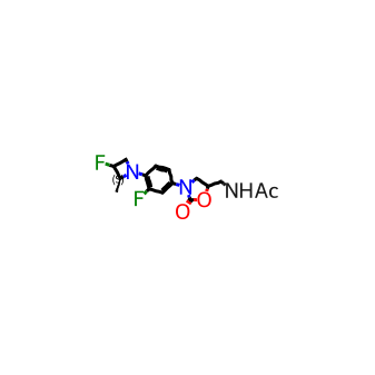 CC(=O)NCC1CN(c2ccc(N3CC(F)[C@@H]3C)c(F)c2)C(=O)O1